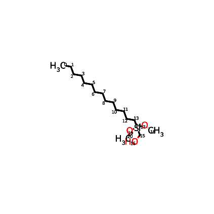 CCCCCCCCCCCCCC[Si](CO)(OC)OC